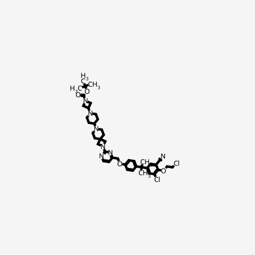 CC(C)(C)OC(=O)N1CC(N2CCC(N3CCC4(CC3)CN(c3nccc(COc5ccc(C(C)(C)c6cc(Cl)c(OCCCl)c(C#N)c6)cc5)n3)C4)CC2)C1